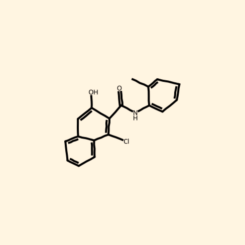 Cc1ccccc1NC(=O)c1c(O)cc2ccccc2c1Cl